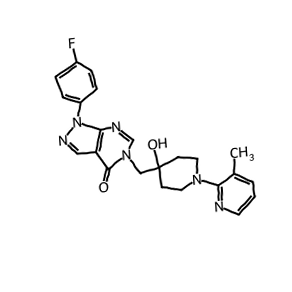 Cc1cccnc1N1CCC(O)(Cn2cnc3c(cnn3-c3ccc(F)cc3)c2=O)CC1